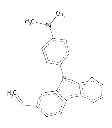 C=Cc1ccc2c3ccccc3n(-c3ccc(N(C)C)cc3)c2c1